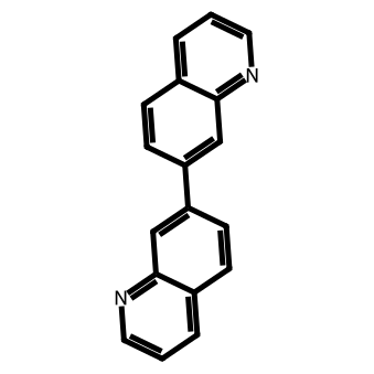 c1cnc2cc(-c3ccc4cccnc4c3)ccc2c1